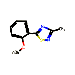 CCCCOc1ccccc1-c1nc(C(F)(F)F)ns1